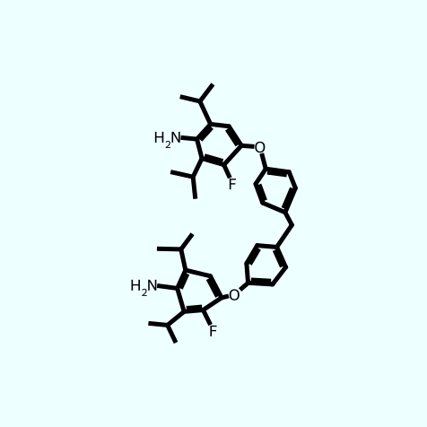 CC(C)c1cc(Oc2ccc(Cc3ccc(Oc4cc(C(C)C)c(N)c(C(C)C)c4F)cc3)cc2)c(F)c(C(C)C)c1N